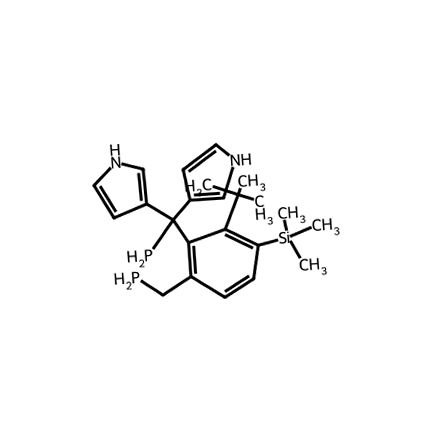 CC(C)(C)c1c([Si](C)(C)C)ccc(CP)c1C(P)(c1cc[nH]c1)c1cc[nH]c1